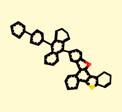 C1=Cc2sc3c4ccccc4c4c5cc(-c6c7c(c(-c8ccc(-c9ccccc9)cc8)c8ccccc68)=CCCC=7)ccc5oc4c3c2CC1